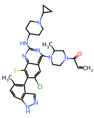 C=CC(=O)N1CCN(c2nc(NC3CCN(C4CC4)CC3)nc3c(F)c(-c4c(C)ccc5[nH]ncc45)c(Cl)cc23)C(C)C1